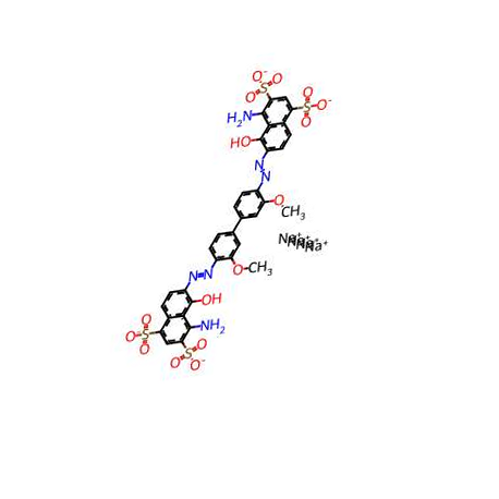 COc1cc(-c2ccc(N=Nc3ccc4c(S(=O)(=O)[O-])cc(S(=O)(=O)[O-])c(N)c4c3O)c(OC)c2)ccc1N=Nc1ccc2c(S(=O)(=O)[O-])cc(S(=O)(=O)[O-])c(N)c2c1O.[Na+].[Na+].[Na+].[Na+]